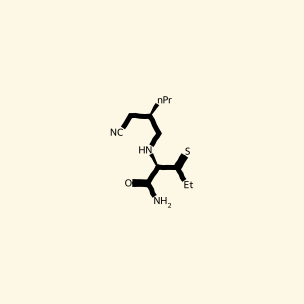 CCC[C@H](CC#N)CN[C@H](C(N)=O)C(=S)CC